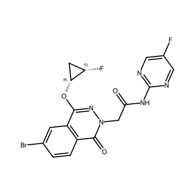 O=C(Cn1nc(O[C@@H]2C[C@@H]2F)c2cc(Br)ccc2c1=O)Nc1ncc(F)cn1